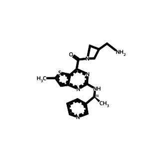 Cc1cc2nc(N[C@@H](C)c3cccnc3)nc(C(=O)N3CC(CN)C3)c2s1